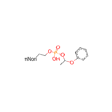 CCCCCCCCCCCOP(=O)(O)OC(C)Oc1ccccc1